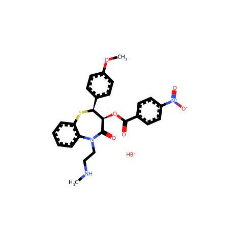 Br.CNCCN1C(=O)[C@H](OC(=O)c2ccc([N+](=O)[O-])cc2)[C@H](c2ccc(OC)cc2)Sc2ccccc21